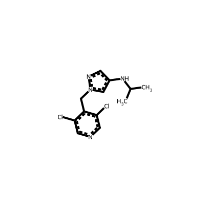 CC(C)Nc1cnn(Cc2c(Cl)cncc2Cl)c1